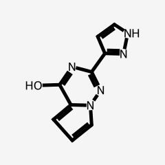 Oc1nc(-c2cc[nH]n2)nn2cccc12